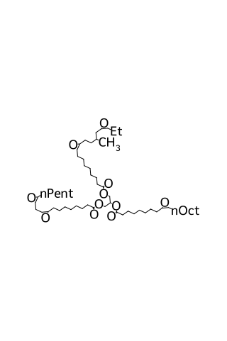 CCCCCCCCC1OC1CCCCCCCC(=O)OC(COC(=O)CCCCCCCC1OC1CCC(C)CC1OC1CC)COC(=O)CCCCCCCC1OC1CC1OC1CCCCC